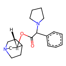 O=C(O[C@H]1CN2CCC1CC2)C(c1ccccc1)N1CCCC1